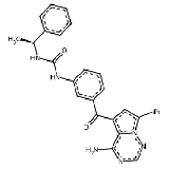 CC(C)c1cc(C(=O)c2cccc(NC(=O)N[C@@H](C)c3ccccc3)c2)c2c(N)ncnn12